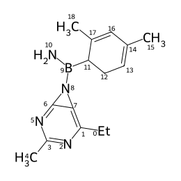 CCc1nc(C)nc2c1N2B(N)C1CC=C(C)C=C1C